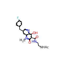 CC(=O)NCCNC(=O)c1c(O)c2ncc(Cc3ccc(F)cc3)cc2n(C)c1=O